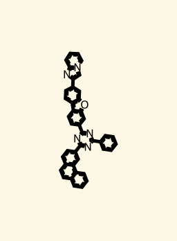 c1ccc(-c2nc(-c3ccc4c(c3)oc3cc(-c5cn6ccccc6n5)ccc34)nc(-c3ccc4ccc5ccccc5c4c3)n2)cc1